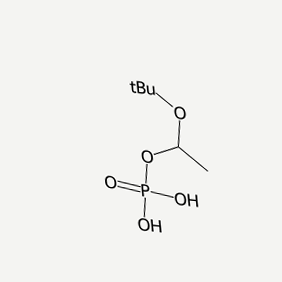 CC(OC(C)(C)C)OP(=O)(O)O